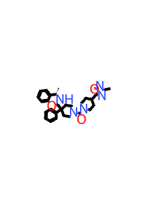 Cc1noc(C2CCN(C(=O)N3CCC(C(=O)N[C@@H](C)c4ccccc4)(c4ccccc4)CC3)CC2)n1